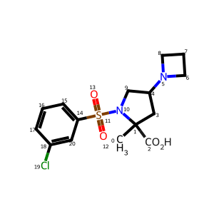 CC1(C(=O)O)CC(N2CCC2)CN1S(=O)(=O)c1cccc(Cl)c1